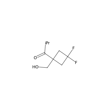 CC(C)C(=O)C1(CO)CC(F)(F)C1